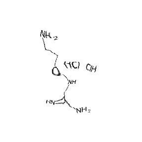 Cl.Cl.N=C(N)NOCCN